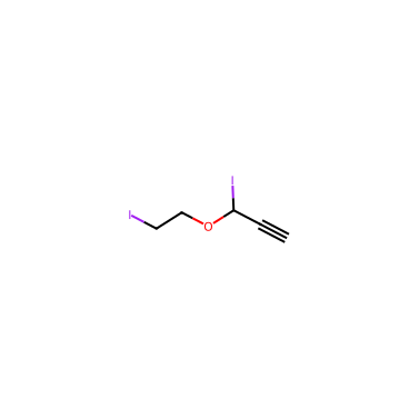 C#CC(I)OCCI